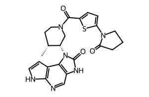 C[C@@H]1CCN(C(=O)c2ccc(N3CCCC3=O)s2)C[C@@H]1n1c(=O)[nH]c2cnc3[nH]ccc3c21